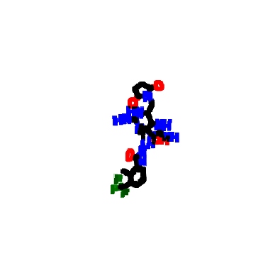 Cc1c(C(=O)N[C@H]2CN3C(=N)NC(CN4C(=O)CCC4=O)C4NC(=N)NC43C2O)cccc1C(F)(F)F